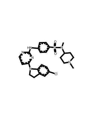 CN1CCC(N(C)S(=O)(=O)c2ccc(Nc3nccc(N4CCc5cc(Cl)ccc54)n3)cc2)CC1